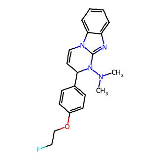 CN(C)N1c2nc3ccccc3n2C=CC1c1ccc(OCCF)cc1